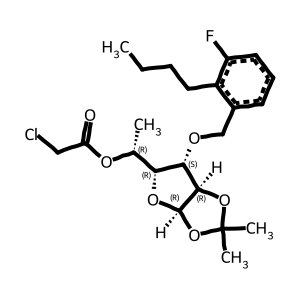 CCCCc1c(F)cccc1CO[C@@H]1[C@H]2OC(C)(C)O[C@H]2O[C@@H]1[C@@H](C)OC(=O)CCl